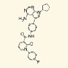 Nc1ncnc2c1c(-c1ccc(NC(=O)c3cccn(-c4ccc(F)cc4)c3=O)cc1)cn2C1CCCC1